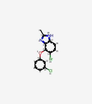 Cc1nc2c(Oc3cccc(Cl)c3)c(Br)ccc2[nH]1